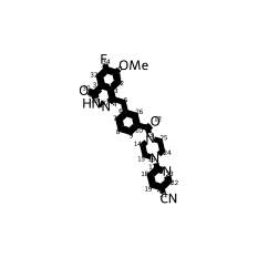 COc1cc2c(Cc3cccc(C(=O)N4CCN(c5ccc(C#N)cn5)CC4)c3)n[nH]c(=O)c2cc1F